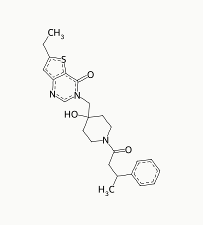 CCc1cc2ncn(CC3(O)CCN(C(=O)CC(C)c4ccccc4)CC3)c(=O)c2s1